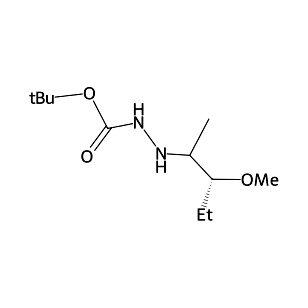 CC[C@@H](OC)C(C)NNC(=O)OC(C)(C)C